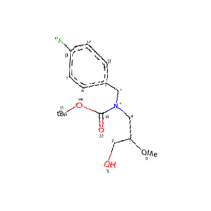 COC(CO)CN(Cc1ccc(F)cc1)C(=O)OC(C)(C)C